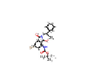 CC(CN1C(=O)c2cc(Br)cc(NC(=O)OC(C)(C)C)c2C1=O)c1ccccc1